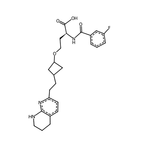 O=C(N[C@@H](CCOC1CC(CCc2ccc3c(n2)NCCC3)C1)C(=O)O)c1cccc(F)c1